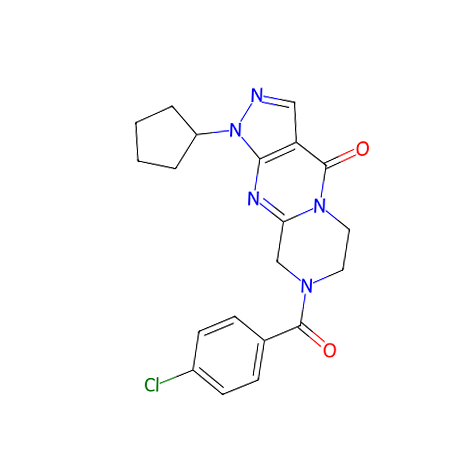 O=C(c1ccc(Cl)cc1)N1CCn2c(nc3c(cnn3C3CCCC3)c2=O)C1